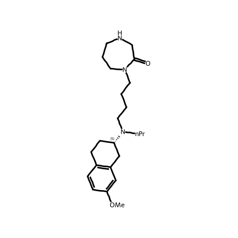 CCCN(CCCCN1CCCNCC1=O)[C@H]1CCc2ccc(OC)cc2C1